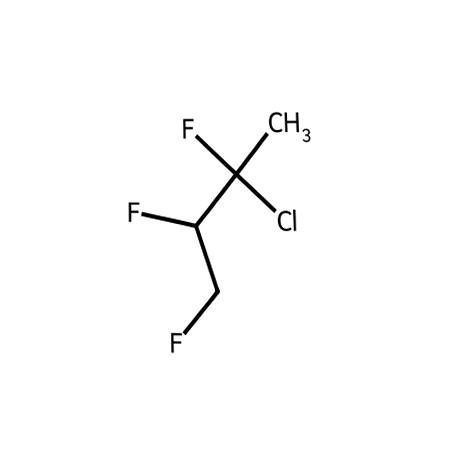 CC(F)(Cl)C(F)CF